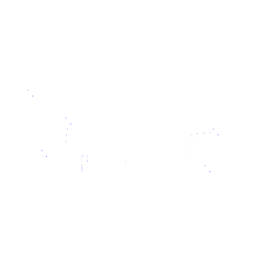 C/N=C(\NC#N)NCCSCc1nc[nH]c1C.CCBr